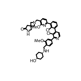 COc1cc(-c2nccc(-c3cccc(-c4ccc(CN5CC6(CNC(=O)C6)C5)c(OC)n4)c3Cl)c2Cl)ccc1CN[C@H]1CC[C@@H](O)CC1